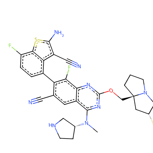 CN(c1nc(OC[C@@]23CCCN2C[C@H](F)C3)nc2c(F)c(-c3ccc(F)c4sc(N)c(C#N)c34)c(C#N)cc12)[C@@H]1CCNC1